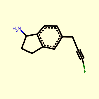 NC1CCc2cc(CC#CF)ccc21